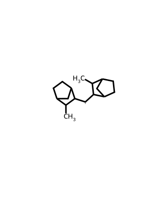 CC1C2CCC(C2)C1[CH]C1C2CCC(C2)C1C